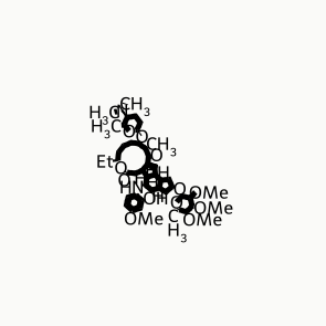 CC[C@H]1CCC[C@H](O[C@H]2CC[C@H](N(C)C)C(C)O2)[C@@H](C)C(=O)C2=C[C@H]3[C@@H]4C[C@H](O[C@@H]5OC(C)[C@H](OC)C(OC)C5OC)C[C@H]4[C@@H](O)[C@H](Nc4ccc(OC)cc4)[C@H]3[C@@H]2CC(=O)O1